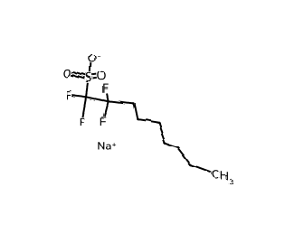 CCCCCCCC(F)(F)C(F)(F)S(=O)(=O)[O-].[Na+]